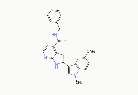 COc1ccc2c(c1)c(-c1cc3c(C(=O)NCc4ccccc4)ccnc3[nH]1)cn2C